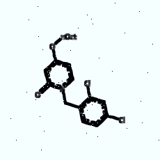 CCCCCCCCOc1ccn(Cc2ccc(Cl)cc2Cl)c(=O)c1